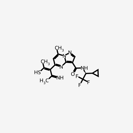 CC(=N)/C(=C(/C)S)c1cc(C)n2ncc(C(=O)N[C@@H](C3CC3)C(F)(F)F)c2n1